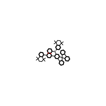 CC1(C)CCC(C)(C)c2cc(N(c3ccccc3)c3cc4c(cc3-c3ccc(-c5cccc6c5C(C)(C)CCC6(C)C)cc3)-c3ccccc3C43c4ccccc4-c4ccccc43)ccc21